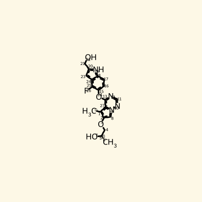 Cc1c(OC[C@@H](C)O)cn2ncnc(Oc3ccc4[nH]c(CO)cc4c3F)c12